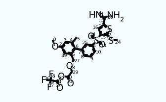 COc1cc(C)c(-c2cccc(S(=O)(=O)c3cc(C(=N)N)sc3SC)c2)c(COCC(=O)OC(=O)C(F)(F)F)c1